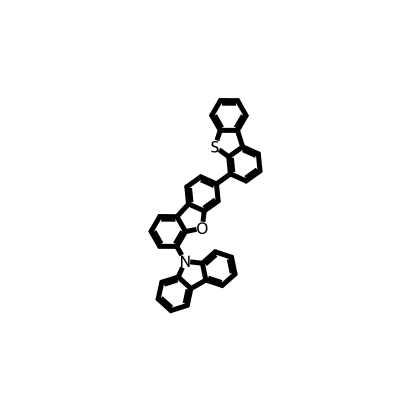 c1ccc2c(c1)sc1c(-c3ccc4c(c3)oc3c(-n5c6ccccc6c6ccccc65)cccc34)cccc12